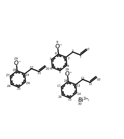 C=CCc1ccccc1[O-].C=CCc1ccccc1[O-].C=CCc1ccccc1[O-].[Bi+3]